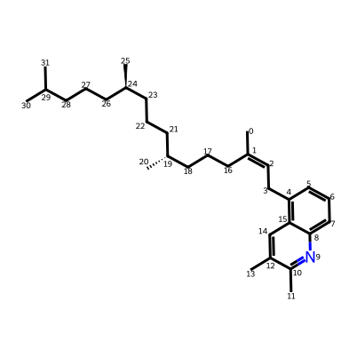 CC(=CCc1cccc2nc(C)c(C)cc12)CCC[C@H](C)CCC[C@H](C)CCCC(C)C